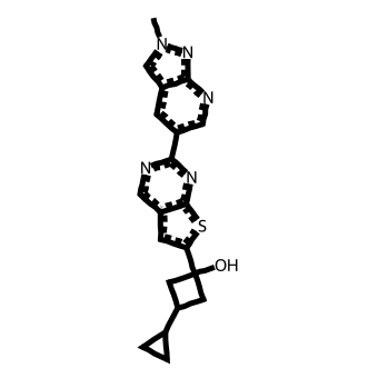 Cn1cc2cc(-c3ncc4cc(C5(O)CC(C6CC6)C5)sc4n3)cnc2n1